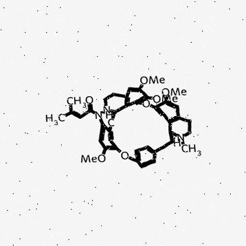 COc1cc2c3cc1Oc1ccc(cc1)C[C@H]1c4cc(c(OC)cc4CCN1C)Oc1c(OC)c(OC)cc4c1[C@H](C3)N(CC4)N2C(=O)C=C(C)C